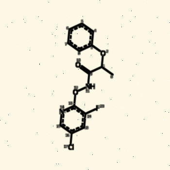 CC(Oc1ccccc1)C(=O)NOc1ncc(Cl)cc1F